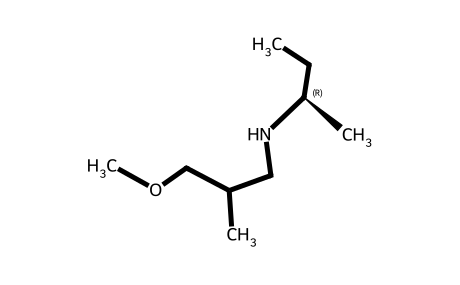 CC[C@@H](C)NCC(C)COC